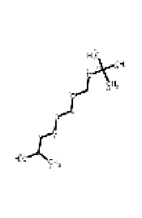 CC(C)COOCOCOC(C)(C)C